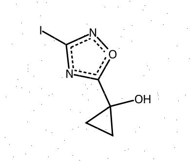 OC1(c2nc(I)no2)CC1